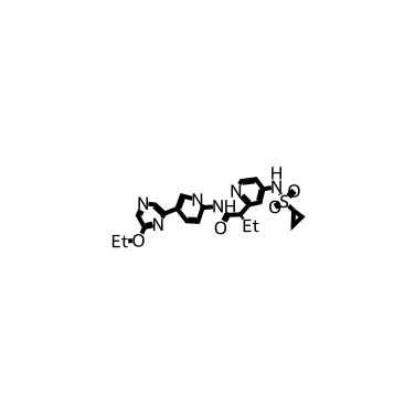 CCOc1cncc(-c2ccc(NC(=O)[C@H](CC)c3cc(NS(=O)(=O)C4CC4)ccn3)nc2)n1